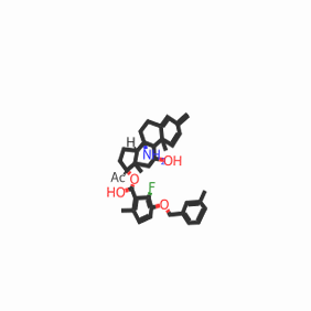 C=C1C=CC2(C)C(=C1)CCC1(N)C2C(O)CC2(C)[C@H]1CC[C@]2(OC(O)c1c(C)ccc(OCc2cccc(C)c2)c1F)C(C)=O